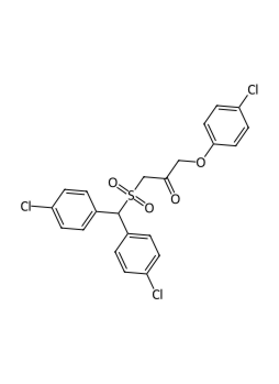 O=C(COc1ccc(Cl)cc1)CS(=O)(=O)C(c1ccc(Cl)cc1)c1ccc(Cl)cc1